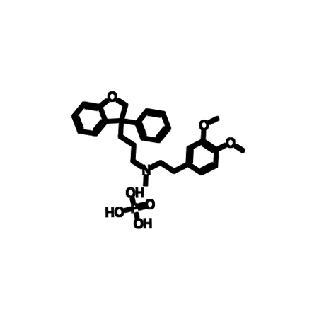 COc1ccc(CCN(C)CCCC2(c3ccccc3)COc3ccccc32)cc1OC.O=P(O)(O)O